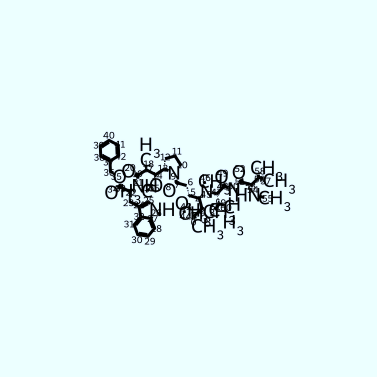 CC[C@H](C)[C@@H]([C@@H](CC(=O)N1CCC[C@H]1[C@H](OC)[C@@H](C)C(=O)N[C@@H](Cc1c[nH]c2ccccc12)C(=O)OCc1ccccc1)OC)N(C)[C@H](C(=O)NC(=O)[C@@H](NC)C(C)C)C(C)C